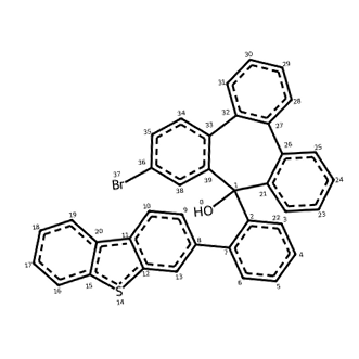 OC1(c2ccccc2-c2ccc3c(c2)sc2ccccc23)c2ccccc2-c2ccccc2-c2ccc(Br)cc21